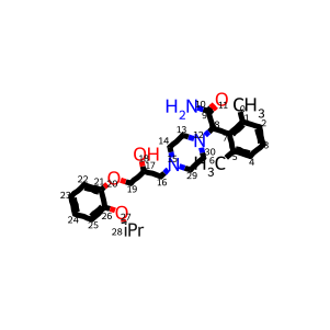 Cc1cccc(C)c1C(C(N)=O)N1CCN(CC(O)COc2ccccc2OC(C)C)CC1